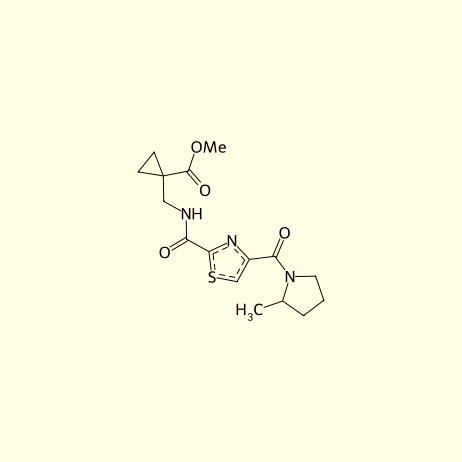 COC(=O)C1(CNC(=O)c2nc(C(=O)N3CCCC3C)cs2)CC1